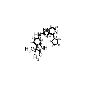 CC1(C)C(=O)Nc2cc(Nc3nc4c(C5CCCC5)nccn4n3)ccc21